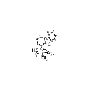 CC[Si](C)(c1cccc2c1Cc1ccccc1-2)C(C)(C)C